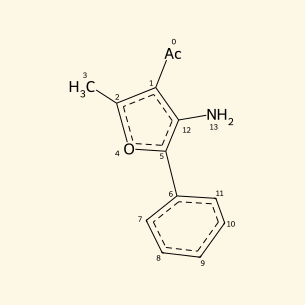 CC(=O)c1c(C)oc(-c2ccccc2)c1N